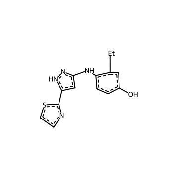 CCc1cc(O)ccc1Nc1cc(-c2nccs2)[nH]n1